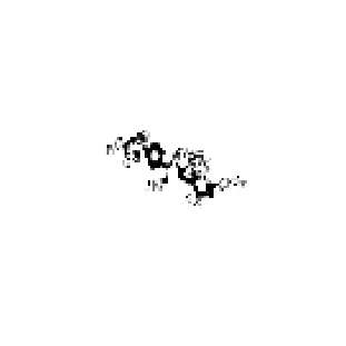 Cc1cc(Cl)c2cc(N(C=O)[C@H](CO)c3ccc(S(=O)(=O)CC(=O)OC(C)C)cc3)n(C)c2n1